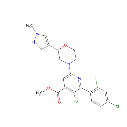 COC(=O)c1cc(N2CCOC(c3cnn(C)c3)C2)nc(-c2ccc(Cl)cc2F)c1Br